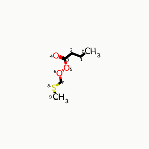 CCCC(=O)OOCSC